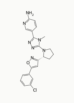 Cn1c(-c2ccc(N)nc2)nnc1N1CCC[C@@H]1c1cc(-c2cccc(Cl)c2)on1